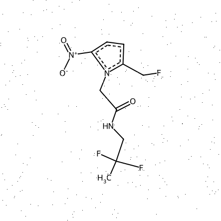 CC(F)(F)CNC(=O)Cn1c(CF)ccc1[N+](=O)[O-]